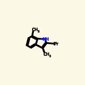 Cc1c(C(C)C)[nH]c2c(C)cccc12